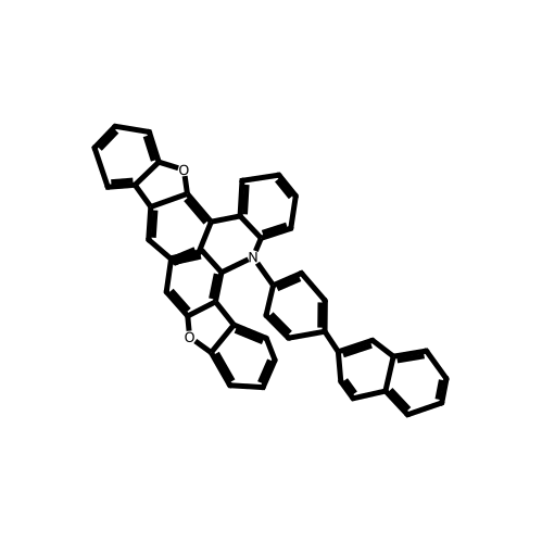 c1ccc(N(c2ccc(-c3ccc4ccccc4c3)cc2)c2cccc3oc4ccccc4c23)c(-c2cccc3c2oc2ccccc23)c1